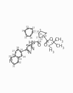 CC(C)(C)OC(=O)N1CC[C@@H](c2ccccc2)[C@H]1C(=O)Nc1nnc(-c2ccc3cnccc3c2)s1